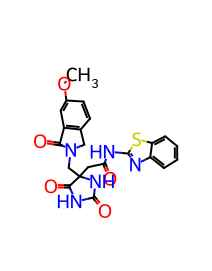 COc1ccc2c(c1)C(=O)N(CC1(CC(=O)Nc3nc4ccccc4s3)NC(=O)NC1=O)C2